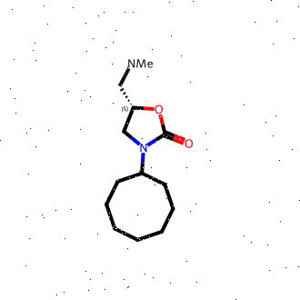 CNC[C@H]1CN(C2CCCCCCC2)C(=O)O1